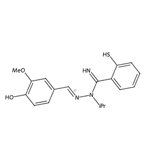 COc1cc(/C=N/N(C(=N)c2ccccc2S)C(C)C)ccc1O